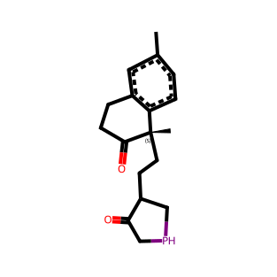 Cc1ccc2c(c1)CCC(=O)[C@@]2(C)CCC1CPCC1=O